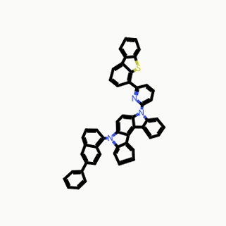 c1ccc(-c2ccc3c(-n4c5ccccc5c5c6c7ccccc7n(-c7cccc(-c8cccc9c8sc8ccccc89)n7)c6ccc54)cccc3c2)cc1